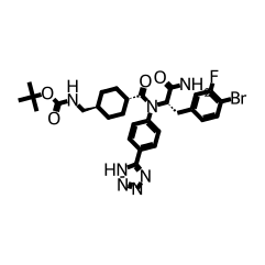 CC(C)(C)OC(=O)NC[C@H]1CC[C@H](C(=O)N(c2ccc(-c3nnn[nH]3)cc2)[C@@H](Cc2ccc(Br)c(F)c2)C(N)=O)CC1